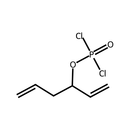 C=CCC(C=C)OP(=O)(Cl)Cl